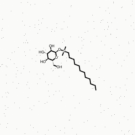 CCCCCCCCCCCC[Si](C)(C)O[C@H]1O[C@H](CO)[C@@H](O)[C@H](O)[C@H]1O